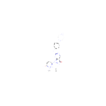 C=CCn1c(=O)c2cnc(Nc3ccc(N4CCN(C)CC4)cc3)nc2n1-c1ccc(=O)n(C(C)(C)C(F)(F)F)n1